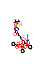 CC(=O)N[C@H]1C(OC(=O)c2ccccc2)[C@@H](OC(=O)c2ccccc2)C(COC(=O)c2ccccc2)O[C@H]1OCCCCC(=O)N1CCC(OPN(C(C)C)C(C)C)CC1